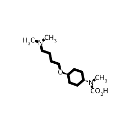 CN(C)CCCCO[C@H]1CC[C@H](N(C)C(=O)O)CC1